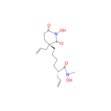 C=CC[C@H](CCCC[C@@]1(CC=C)CCC(=O)N(O)C1=O)C(=O)N(C)O